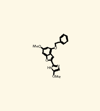 COc1cc(OCc2ccccc2)c2cc(-c3ncc(OC)[nH]3)oc2c1